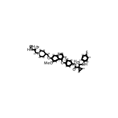 COc1cc2c(Oc3ccc(NC(=O)C4(C(=O)Nc5ccc(F)cc5)CC4)cc3F)ccnc2cc1OCC1CCN(CC(=O)NO)CC1